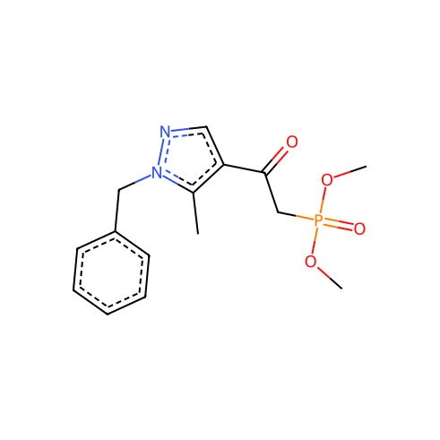 COP(=O)(CC(=O)c1cnn(Cc2ccccc2)c1C)OC